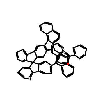 c1ccc(-c2c3ccccc3c(-c3ccc4c(c3)C3(c5ccccc5-c5cc6c7c8ccccc8ccc7n(-c7ncccn7)c6cc53)c3cccnc3-4)c3ccccc23)cc1